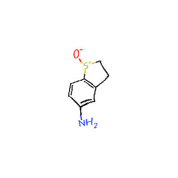 Nc1ccc2c(c1)CC[S+]2[O-]